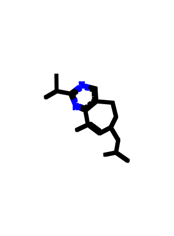 CC1=CC(CC(C)C)CCc2cnc(C(C)C)nc21